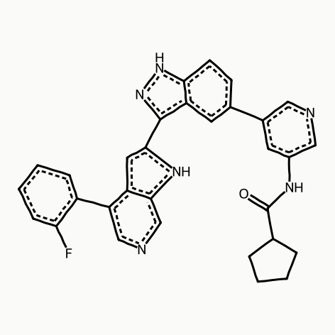 O=C(Nc1cncc(-c2ccc3[nH]nc(-c4cc5c(-c6ccccc6F)cncc5[nH]4)c3c2)c1)C1CCCC1